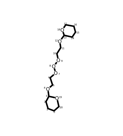 C1CCC(OCCOOOCCOC2CCCCO2)OC1